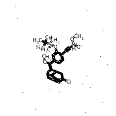 COC(=C1C2CC3CC1CC(Cl)(C3)C2)c1ccc(C#C[NH+]([O-])OC)c(O[Si](C)(C)C(C)(C)C)c1